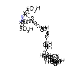 CCN1\C(=C/C=C/C=C/C2=[N+](CCCCCC(=O)NCCOCCOCCNC(=O)OCCC(C)(C)SSCOCCCCNC(=O)NCC#Cc3cn(C4C[C@H](OCS(C)=S)[C@@H](COP(=O)(O)OP(=O)(O)OP(=O)(O)O)O4)c4nc(N)[nH]c(=O)c34)c3ccc(S(=O)(=O)O)cc3C2(C)C)C(C)(C)c2cc(S(=O)(=O)O)ccc21